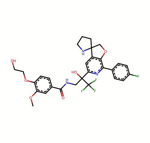 COc1cc(C(=O)NCC(O)(c2cc3c(c(-c4ccc(F)cc4)n2)OCC32CCCN2)C(F)(F)F)ccc1OCCO